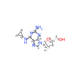 C[C@H]1C[C@@H](CO)O[C@H]1n1cnc2c(NC3CC3)nc(N)nc21